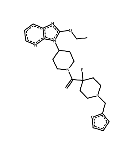 C=C(N1CCC(n2c(OCC)nc3cccnc32)CC1)C1(F)CCN(Cc2ccco2)CC1